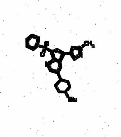 Cn1cc(-c2cn(S(=O)(=O)c3ccccc3)c3ncc(C4CCC(C(C)(C)C)CC4)cc23)cn1